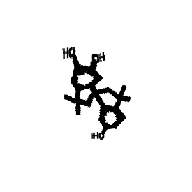 CC1(C)CC2(CC(C)(C)c3cc(O)c(O)cc32)c2cc(O)ccc21